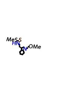 COCCn1cc(CCNC(=S)SC)c2ccccc21